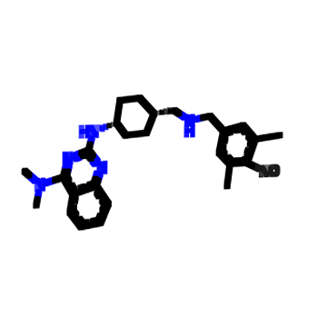 Cc1cc(CNC[C@H]2CC[C@@H](Nc3nc(N(C)C)c4ccccc4n3)CC2)cc(C)c1N=O